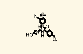 COCc1ccc(C(NC(=O)N2CC(O)C2)C(=O)Nc2ccc([Si](C)(C)C)c(C#N)c2)cc1